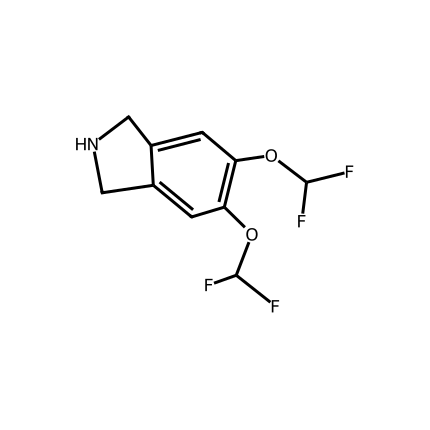 FC(F)Oc1cc2c(cc1OC(F)F)CNC2